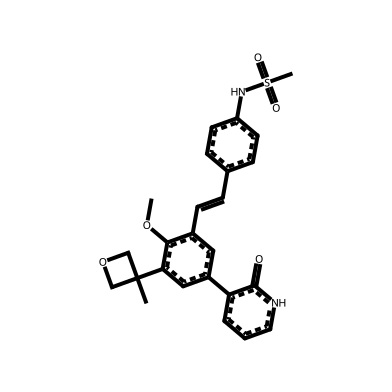 COc1c(C=Cc2ccc(NS(C)(=O)=O)cc2)cc(-c2ccc[nH]c2=O)cc1C1(C)COC1